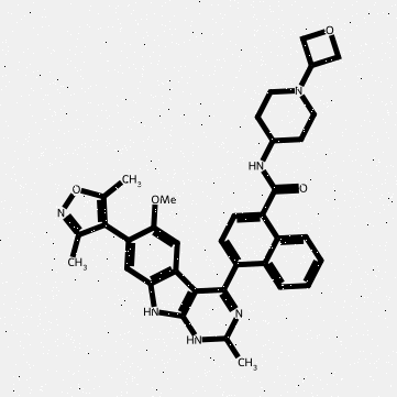 COc1cc2c3c([nH]c2cc1-c1c(C)noc1C)NC(C)N=C3c1ccc(C(=O)NC2CCN(C3COC3)CC2)c2ccccc12